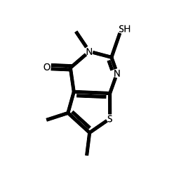 Cc1sc2nc(S)n(C)c(=O)c2c1C